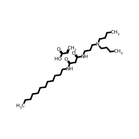 C=CC(=O)O.CCCCCCCCCCCCNC(=O)CC(=O)NCCCN(CCCC)CCCC